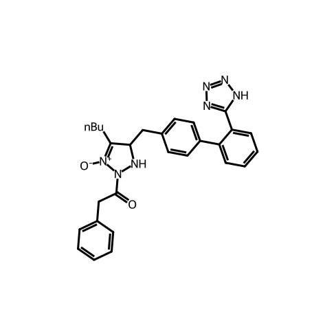 CCCCC1=[N+]([O-])N(C(=O)Cc2ccccc2)NC1Cc1ccc(-c2ccccc2-c2nnn[nH]2)cc1